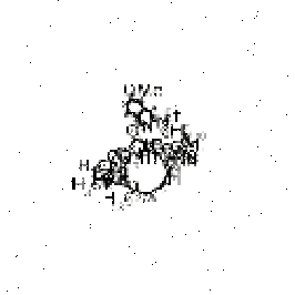 CCN(C)c1cc2cc(OC)ccc2c(O[C@@H]2C[C@H]3C(=O)N[C@]4(C(=O)NS(=O)(=O)C5(CF)CC5)C[C@H]4/C=C\CC[C@H](C)C[C@@H](C)[C@H](N(C(=O)O)C(C)(C)C(C)(F)F)C(=O)N3C2)n1